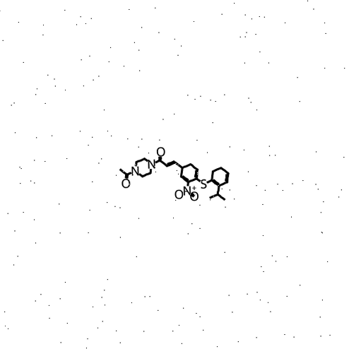 CC(=O)N1CCN(C(=O)/C=C/C2C=C([N+](=O)[O-])C(SC3=C(C(C)C)C=CCC3)=CC2)CC1